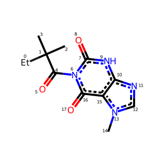 CCC(C)(C)C(=O)n1c(=O)[nH]c2ncn(C)c2c1=O